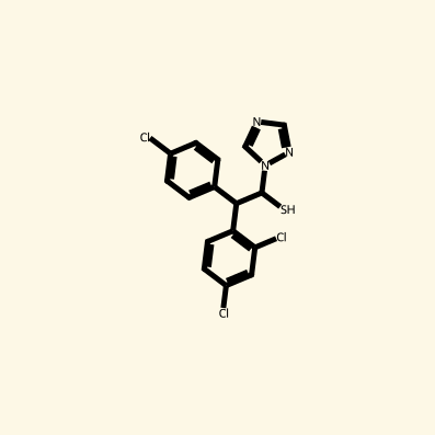 SC(C(c1ccc(Cl)cc1)c1ccc(Cl)cc1Cl)n1cncn1